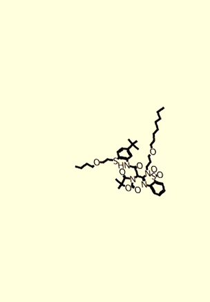 CCCCCCCCOCCCN1C(C(C(=O)Nc2cc(C(C)(C)C)ccc2SCCOCCCC)N2C(=O)OC(C)(C)C2=O)=Nc2ccccc2S1(=O)=O